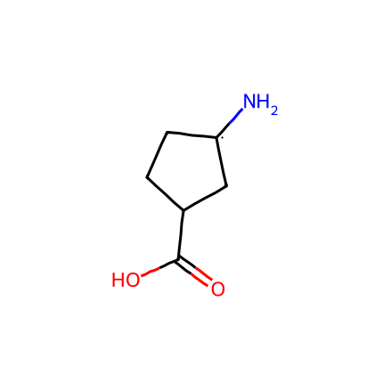 N[C]1CCC(C(=O)O)C1